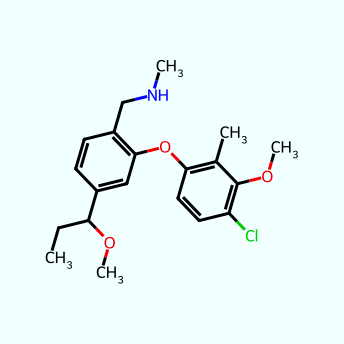 CCC(OC)c1ccc(CNC)c(Oc2ccc(Cl)c(OC)c2C)c1